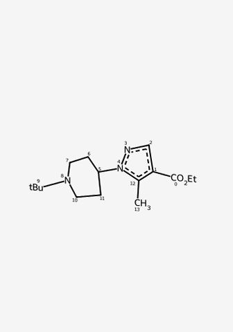 CCOC(=O)c1cnn(C2CCN(C(C)(C)C)CC2)c1C